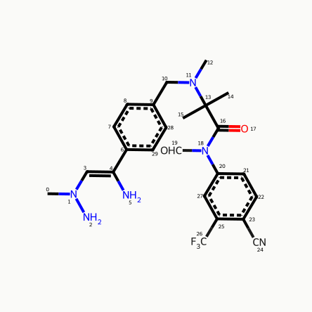 CN(N)/C=C(\N)c1ccc(CN(C)C(C)(C)C(=O)N(C=O)c2ccc(C#N)c(C(F)(F)F)c2)cc1